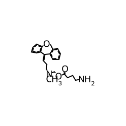 CN(CC/C=C1\c2ccccc2COc2ccccc21)COC(=O)CCCN